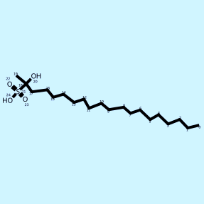 CCCCCCCCCCCCCCCCCCC(C)(O)S(=O)(=O)O